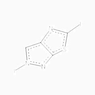 Ic1nc2cn(I)nc2s1